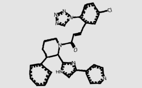 O=C(/C=C/c1cc(Cl)ccc1-n1cnnn1)N1CCCC(c2ccccc2)C1c1nc(-c2ccncc2)c[nH]1